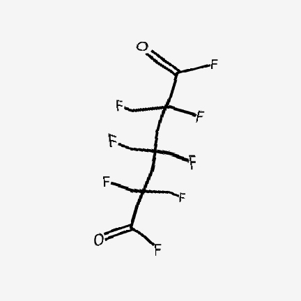 O=C(F)C(F)(F)C(F)(F)C(F)(F)C(=O)F